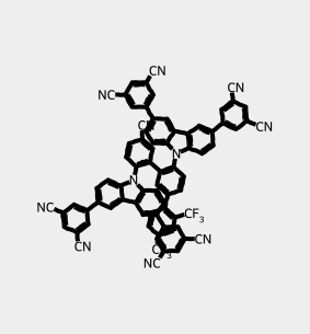 N#Cc1cc(C#N)cc(-c2ccc3c(c2)c2cc(-c4cc(C#N)cc(C#N)c4)ccc2n3-c2ccc(C#N)cc2-c2cc(-c3ccc(C(F)(F)F)cc3C(F)(F)F)ccc2-n2c3ccc(-c4cc(C#N)cc(C#N)c4)cc3c3cc(-c4cc(C#N)cc(C#N)c4)ccc32)c1